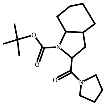 CC(C)(C)OC(=O)N1C(C(=O)N2CCCC2)CC2CCCCC21